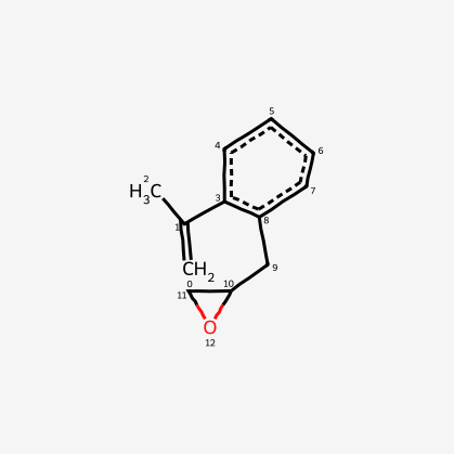 C=C(C)c1ccccc1CC1CO1